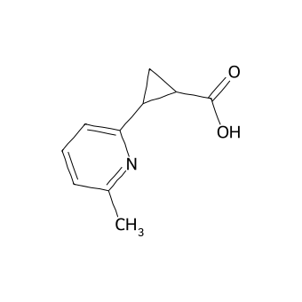 Cc1cccc(C2CC2C(=O)O)n1